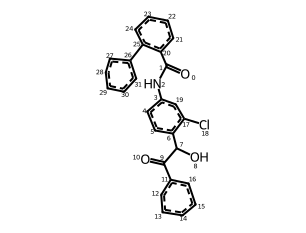 O=C(Nc1ccc(C(O)C(=O)c2ccccc2)c(Cl)c1)c1ccccc1-c1ccccc1